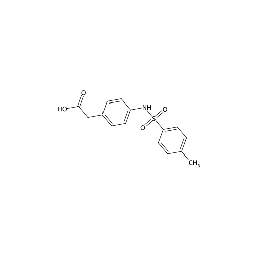 Cc1ccc(S(=O)(=O)Nc2ccc(CC(=O)O)cc2)cc1